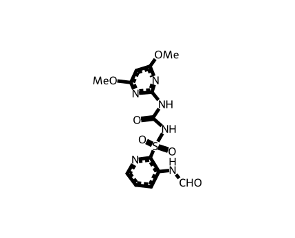 COc1cc(OC)nc(NC(=O)NS(=O)(=O)c2ncccc2NC=O)n1